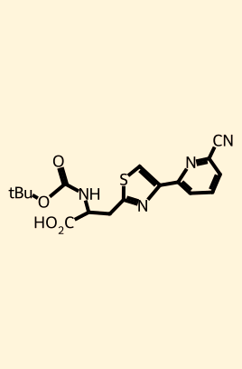 CC(C)(C)OC(=O)NC(Cc1nc(-c2cccc(C#N)n2)cs1)C(=O)O